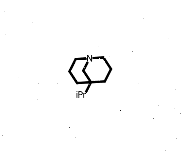 CC(C)C12CCCN(CCC1)C2